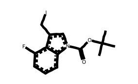 CC(C)(C)OC(=O)n1cc(CI)c2c(F)cccc21